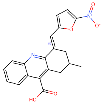 CC1C/C(=C\c2ccc([N+](=O)[O-])o2)c2nc3ccccc3c(C(=O)O)c2C1